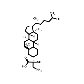 CC(C)CCC[C@@H](C)[C@H]1CC[C@H]2[C@@H]3CC=C4C[C@@H](C(N)(CN)C(=O)O)CC[C@]4(C)[C@H]3CC[C@]12C